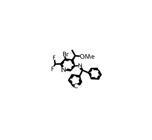 COC(C)c1c(N=C(c2ccccc2)c2ccccc2)cnc(C(F)F)c1Br